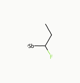 CC[CH](F)[Sb]